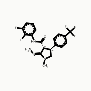 CN1C[C@H](c2ccc(C(F)(F)F)cc2)[C@@H](C(=O)Nc2cccc(F)c2F)C1=NN